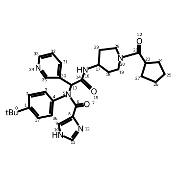 CC(C)(C)c1ccc(N(C(=O)c2c[nH]cn2)C(C(=O)NC2CCN(C(=O)C3CCCC3)CC2)c2cccnc2)cc1